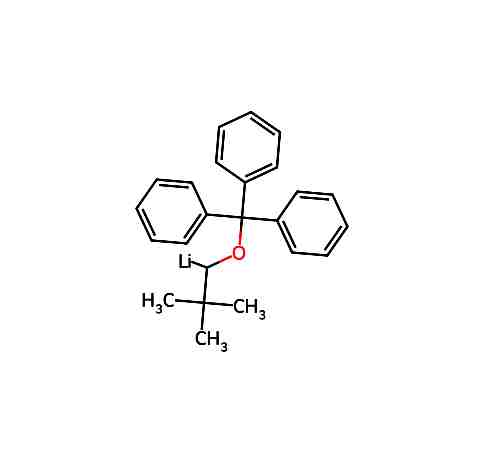 [Li][CH](OC(c1ccccc1)(c1ccccc1)c1ccccc1)C(C)(C)C